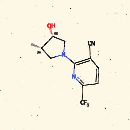 C[C@H]1CN(c2nc(C(F)(F)F)ccc2C#N)C[C@H]1O